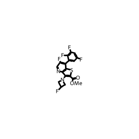 COC(=O)c1sc2c(-c3cc(F)cc(F)c3F)c(F)cnc2c1N1CC(F)C1